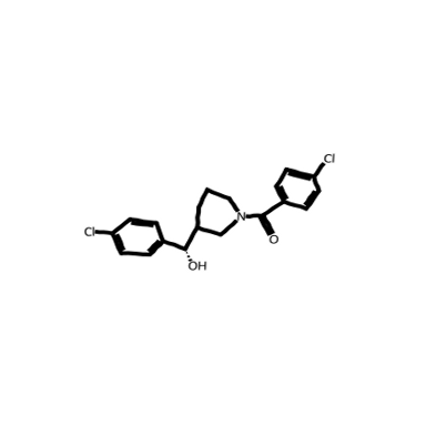 O=C(c1ccc(Cl)cc1)N1CCCC([C@H](O)c2ccc(Cl)cc2)C1